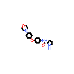 O=C(Nc1ccc(Oc2ccc(N3CCOCC3)cc2)cc1)[C@@H]1CCCN1